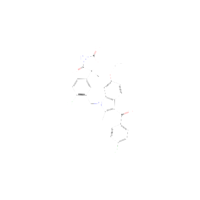 Cc1c(C(=O)c2ccc(Cl)cc2)c2ccc(OC(F)(F)F)cc2n1Cc1cc([C@@]2(C)OC(=O)NC2=O)ccc1Cl